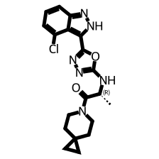 C[C@@H](Nc1nnc(-c2[nH]nc3cccc(Cl)c23)o1)C(=O)N1CCC2(CC1)CC2